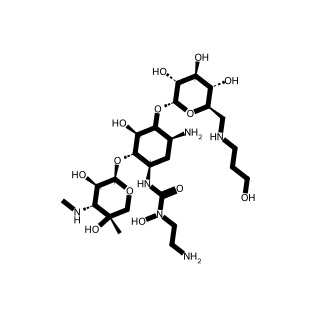 CN[C@@H]1[C@@H](O)[C@@H](O[C@H]2[C@H](NC(=O)N(O)CCN)C[C@H](N)C(O[C@H]3O[C@H](CNCCCO)[C@@H](O)[C@H](O)[C@H]3O)[C@@H]2O)OC[C@]1(C)O